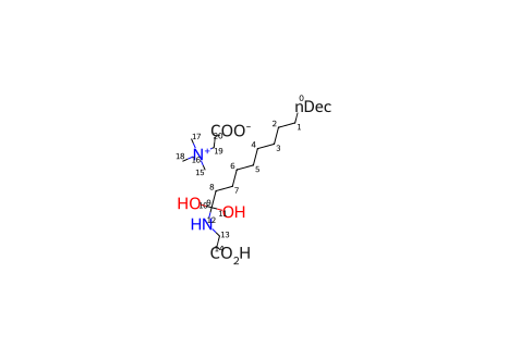 CCCCCCCCCCCCCCCCCCC(O)(O)NCC(=O)O.C[N+](C)(C)CC(=O)[O-]